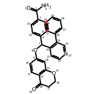 NC(=O)c1ccc(C(Oc2ccc3c(c2)OCCC3=O)c2ccncc2-c2ccccc2)cc1